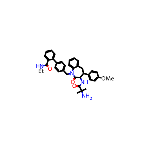 CCNC(=O)c1ccccc1-c1ccc(CN2C(=O)C(NC(=O)C(C)(C)N)C(c3ccc(OC)cc3)Cc3ccccc32)cc1